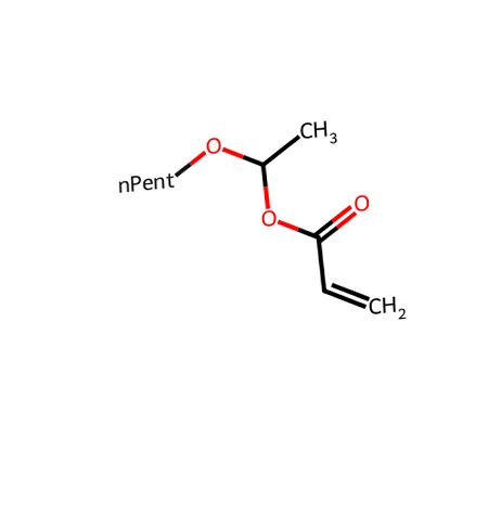 C=CC(=O)OC(C)OCCCCC